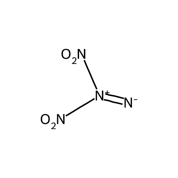 [N-]=[N+]([N+](=O)[O-])[N+](=O)[O-]